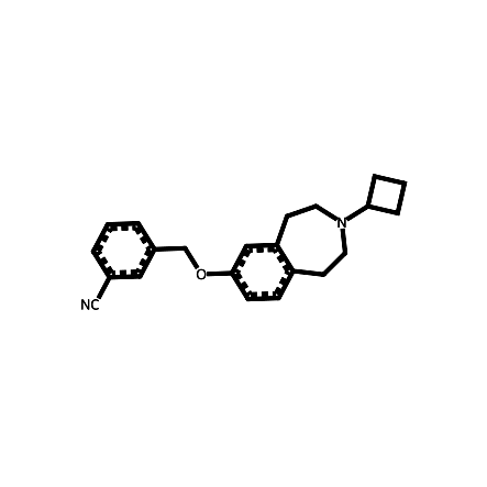 N#Cc1cccc(COc2ccc3c(c2)CCN(C2CCC2)CC3)c1